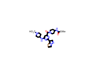 COC(=O)NC1CCN(C(=O)c2cc(NC3CCN(C(=O)O)CC3)nc(-c3cnn4ccsc34)n2)CC1